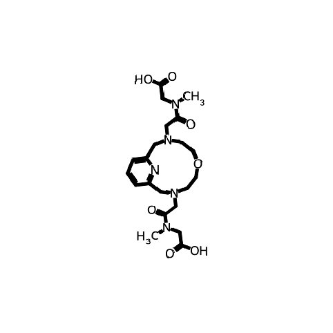 CN(CC(=O)O)C(=O)CN1CCOCCN(CC(=O)N(C)CC(=O)O)Cc2cccc(n2)C1